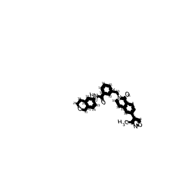 Cc1nocc1-c1ccc2c(=O)n(Cc3cccc(C(=O)Nc4ccc5c(c4)CCOC5)c3)ccc2c1